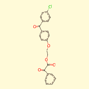 O=C(OCCOc1ccc(C(=O)c2ccc(Cl)cc2)cc1)C(=O)c1ccccc1